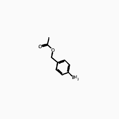 Bc1ccc(COC(C)=O)cc1